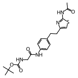 CC(=O)Nc1nc(CCc2ccc(NC(=O)CNC(=O)OC(C)(C)C)cc2)cs1